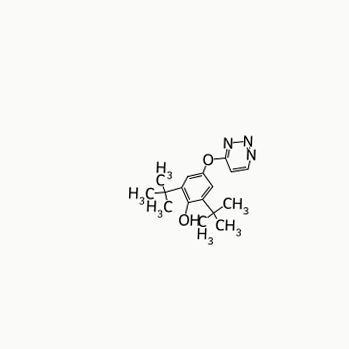 CC(C)(C)c1cc(Oc2ccnnn2)cc(C(C)(C)C)c1O